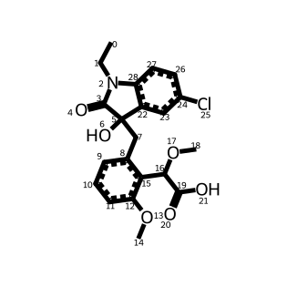 CCN1C(=O)C(O)(Cc2cccc(OC)c2C(OC)C(=O)O)c2cc(Cl)ccc21